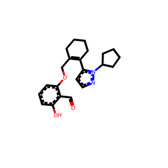 O=Cc1c(O)cccc1OCC1=C(c2ccnn2C2CCCC2)CCCC1